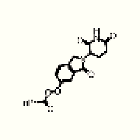 CCCC(=O)OOc1ccc2c(c1)C(=O)N(C1CCC(=O)NC1=O)C2